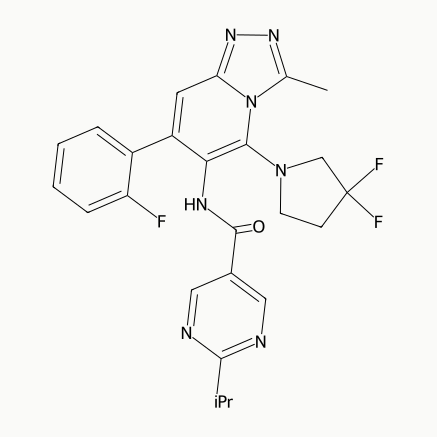 Cc1nnc2cc(-c3ccccc3F)c(NC(=O)c3cnc(C(C)C)nc3)c(N3CCC(F)(F)C3)n12